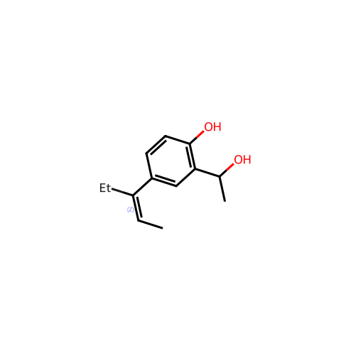 C/C=C(/CC)c1ccc(O)c(C(C)O)c1